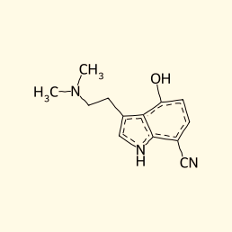 CN(C)CCc1c[nH]c2c(C#N)ccc(O)c12